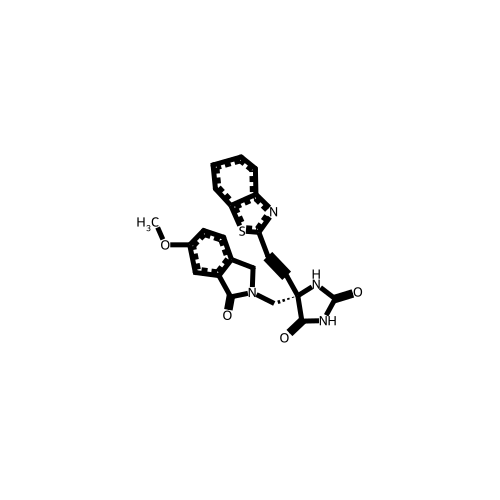 COc1ccc2c(c1)C(=O)N(C[C@]1(C#Cc3nc4ccccc4s3)NC(=O)NC1=O)C2